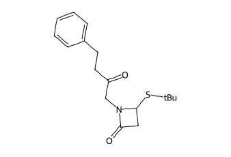 CC(C)(C)SC1CC(=O)N1CC(=O)CCc1ccccc1